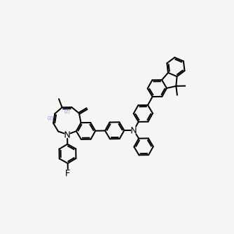 C=C1/C=C(C)\C=C/CN(c2ccc(F)cc2)c2ccc(-c3ccc(N(c4ccccc4)c4ccc(-c5ccc6c(c5)C(C)(C)c5ccccc5-6)cc4)cc3)cc21